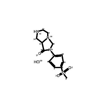 CS(=O)(=O)c1ccc(N2CN3CCNCC3C2=O)cc1.Cl